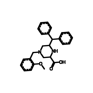 COc1ccccc1CN1CC(C(=O)O)NC(C(c2ccccc2)c2ccccc2)C1